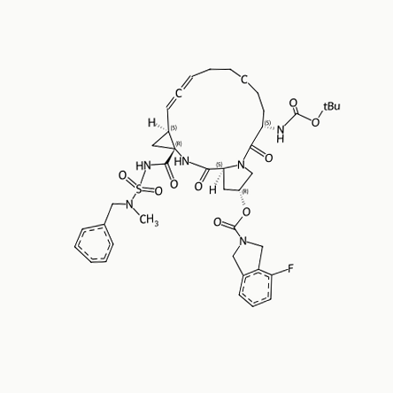 CN(Cc1ccccc1)S(=O)(=O)NC(=O)[C@@]12C[C@H]1C=C=CCCCCC[C@H](NC(=O)OC(C)(C)C)C(=O)N1C[C@H](OC(=O)N3Cc4cccc(F)c4C3)C[C@H]1C(=O)N2